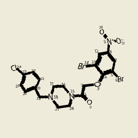 O=C(COc1c(Br)cc([N+](=O)[O-])cc1Br)N1CCN(Cc2ccc(Cl)cc2)CC1